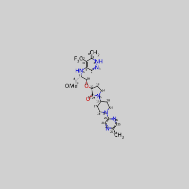 C=C1NN=CC(N[C@@H](COC)COC2CCN(C3CCN(c4cnc(C)cn4)CC3)C2=O)=C1C(F)(F)F